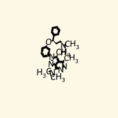 CNCC[C@@H](Oc1cccc(-n2nc3c(N(C)C)nnc(C)c3c2C)c1)c1ccccc1